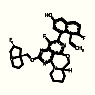 C=Cc1c(F)ccc2cc(O)cc(-c3nc4c5c(nc(OC[C@@]67CCCN6C[C@H](F)C7)nc5c3F)N3CCCC[C@H]3CO4)c12